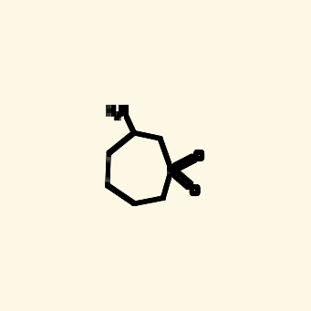 NC1CCCCS(=O)(=O)C1